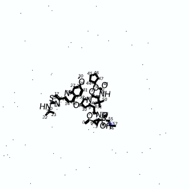 C=C[C@@H]1C[C@]1(NC(=O)CC1C[C@@H](Oc2cc(-c3csc(NC(C)C)n3)nc3cc(OC)ccc23)CN1C(=O)[C@@H](NC(=O)OC1CCCC1)C(C)(C)C)P(=O)(O)/C=C/C